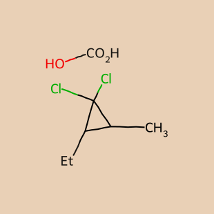 CCC1C(C)C1(Cl)Cl.O=C(O)O